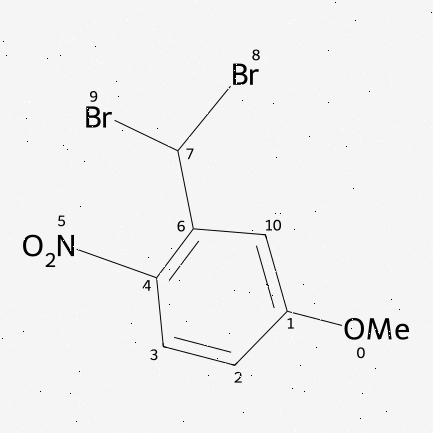 COc1ccc([N+](=O)[O-])c(C(Br)Br)c1